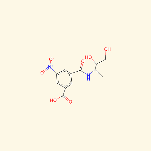 CC(NC(=O)c1cc(C(=O)O)cc([N+](=O)[O-])c1)C(O)CO